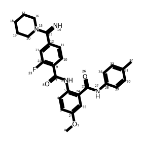 COc1ccc(NC(=O)c2ccc(C(=N)N3CCCCC3)cc2F)c(C(=O)Nc2ccc(C)cc2)c1